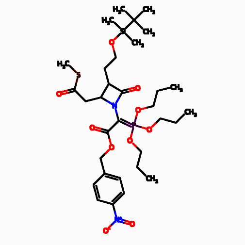 CCCOP(OCCC)(OCCC)=C(C(=O)OCc1ccc([N+](=O)[O-])cc1)N1C(=O)C(CCO[Si](C)(C)C(C)(C)C)C1CC(=O)SC